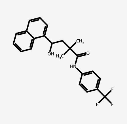 CC(C)(CC(O)c1cccc2ccccc12)C(=O)Nc1ccc(C(F)(F)F)cc1